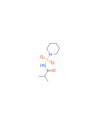 CC(C)C(=O)NS(=O)(=O)N1CCCCC1